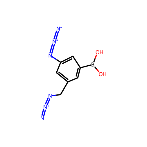 [N-]=[N+]=NCc1cc(N=[N+]=[N-])cc(B(O)O)c1